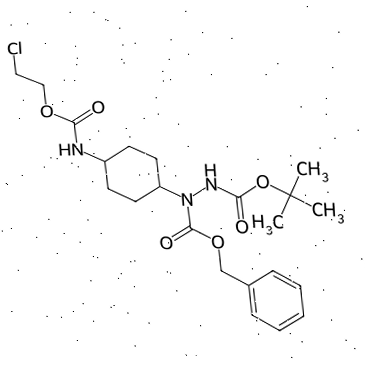 CC(C)(C)OC(=O)NN(C(=O)OCc1ccccc1)C1CCC(NC(=O)OCCCl)CC1